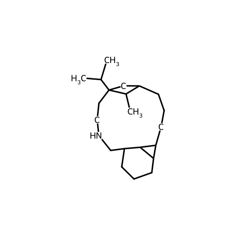 CC(C)C12CCNCC3CCCC4C(CCCC(C1)C2C)C34